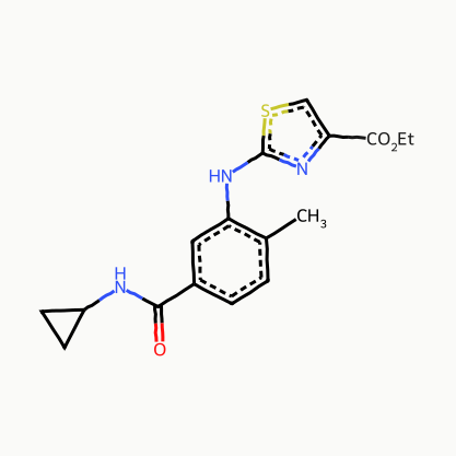 CCOC(=O)c1csc(Nc2cc(C(=O)NC3CC3)ccc2C)n1